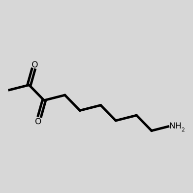 CC(=O)C(=O)CCCCCCN